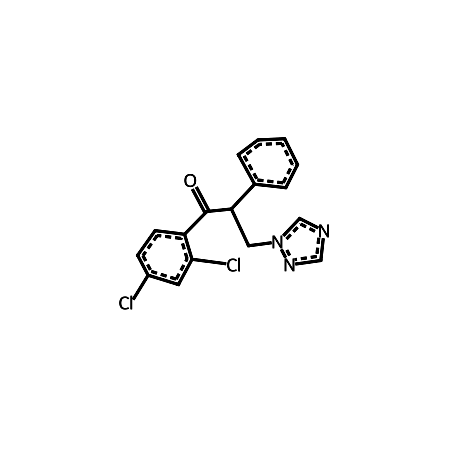 O=C(c1ccc(Cl)cc1Cl)C(Cn1cncn1)c1ccccc1